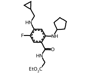 CCOC(=O)CNC(=O)c1cc(F)c(NCC2CC2)cc1NC1CCCC1